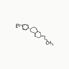 C=CCCC1CCC2CC(c3ccc(CC)cc3)CCC2C1